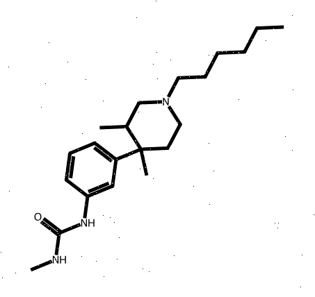 CCCCCCN1CCC(C)(c2cccc(NC(=O)NC)c2)C(C)C1